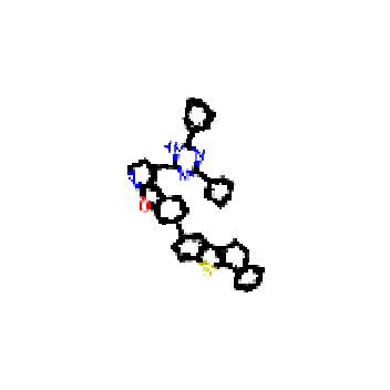 c1ccc(C2=NC(c3ccccc3)NC(c3ccnc4oc5cc(-c6ccc7sc8c9ccccc9ccc8c7c6)ccc5c34)=N2)cc1